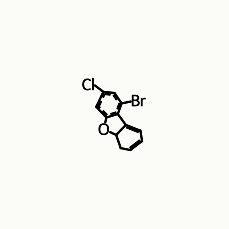 Clc1cc(Br)c2c(c1)OC1CC=CC=C21